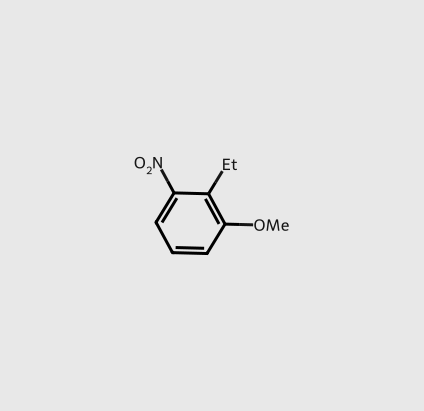 CCc1c(OC)cccc1[N+](=O)[O-]